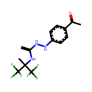 C=C(NNc1ccc(C(C)=O)cc1)NC(C)(C(F)(F)F)C(F)(F)F